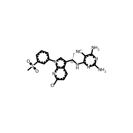 C[C@H](Nc1nc(N)nc(N)c1C#N)c1cn(-c2cccc(S(C)(=O)=O)c2)c2nc(Cl)ccc12